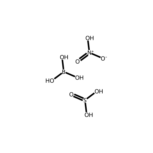 O=S(O)O.O=[N+]([O-])O.OB(O)O